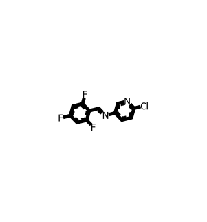 Fc1cc(F)c(/C=N/c2ccc(Cl)nc2)c(F)c1